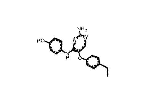 CCc1ccc(Oc2cnc(N)nc2Nc2ccc(O)cc2)cc1